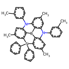 Cc1cccc(N2c3cc(C)cc4c3B3c5c2cc(C)cc5[Si](c2ccccc2)(c2ccccc2)c2cc(C)cc(c23)N4c2cccc(C)c2)c1